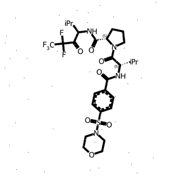 CC(C)C(NC(=O)[C@@H]1CCCN1C(=O)[C@@H](NC(=O)c1ccc(S(=O)(=O)N2CCOCC2)cc1)C(C)C)C(=O)C(F)(F)C(F)(F)F